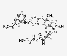 Cc1c(CN2CCC(Nc3ncnc4sc(CC(F)(F)F)cc34)CC2)ccc2c1cc(C#N)n2CC12CC(NC(=O)CNCCO)(C1)C2